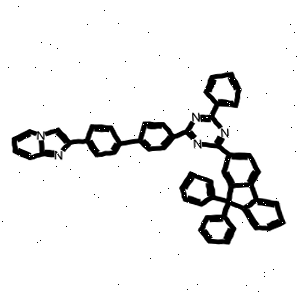 c1ccc(-c2nc(-c3ccc(-c4ccc(-c5cn6ccccc6n5)cc4)cc3)nc(-c3ccc4c(c3)C(c3ccccc3)(c3ccccc3)c3ccccc3-4)n2)cc1